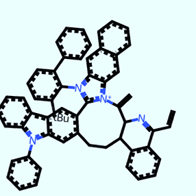 C=CC1=NC2C(=C)[n+]3c(n(-c4c(-c5ccccc5)cccc4C(C)(C)C)c4cc5ccccc5cc43)-c3cc4c5ccccc5n(-c5ccccc5)c4cc3CCC2c2ccccc21